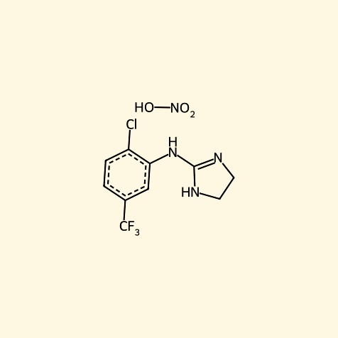 FC(F)(F)c1ccc(Cl)c(NC2=NCCN2)c1.O=[N+]([O-])O